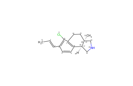 CC=Cc1ccc2c(c1Cl)CC[C@@]1(C)CNC[C@@H]21